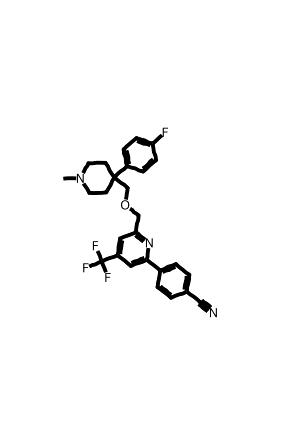 CN1CCC(COCc2cc(C(F)(F)F)cc(-c3ccc(C#N)cc3)n2)(c2ccc(F)cc2)CC1